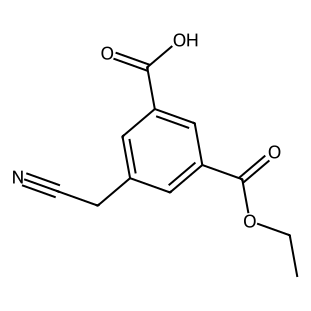 CCOC(=O)c1cc(CC#N)cc(C(=O)O)c1